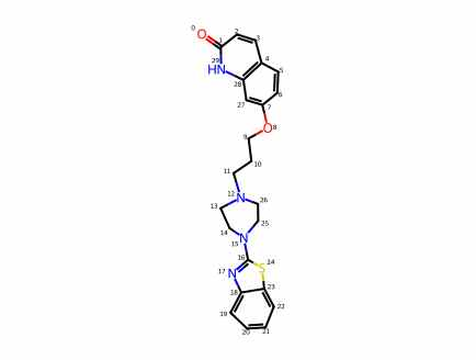 O=c1ccc2ccc(OCCCN3CCN(c4nc5ccccc5s4)CC3)cc2[nH]1